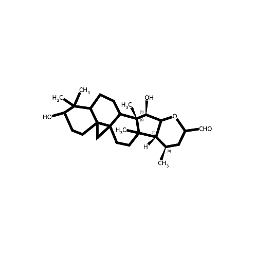 C[C@@H]1CC(C=O)OC2[C@H]1C1(C)CCC34CC35CCC(O)C(C)(C)C5CCC4[C@]1(C)[C@H]2O